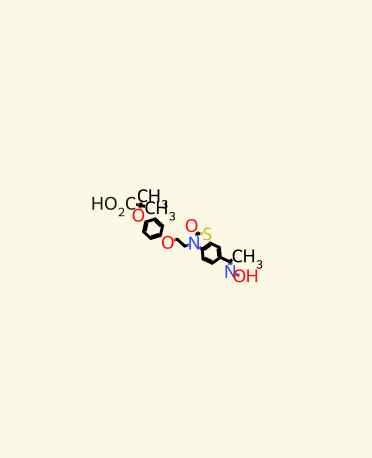 C/C(=N\O)c1ccc2c(c1)sc(=O)n2CCOc1ccc(OC(C)(C)C(=O)O)cc1